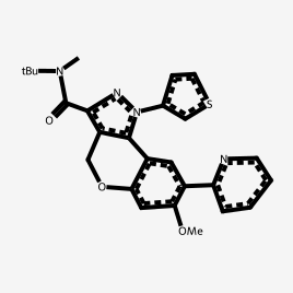 COc1cc2c(cc1-c1ccccn1)-c1c(c(C(=O)N(C)C(C)(C)C)nn1-c1ccsc1)CO2